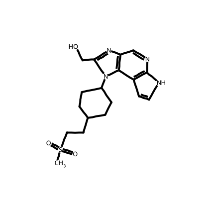 CS(=O)(=O)CCC1CCC(n2c(CO)nc3cnc4[nH]ccc4c32)CC1